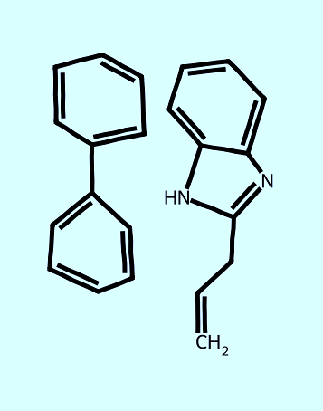 C=CCc1nc2ccccc2[nH]1.c1ccc(-c2ccccc2)cc1